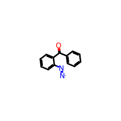 [N]=Nc1ccccc1C(=O)c1ccccc1